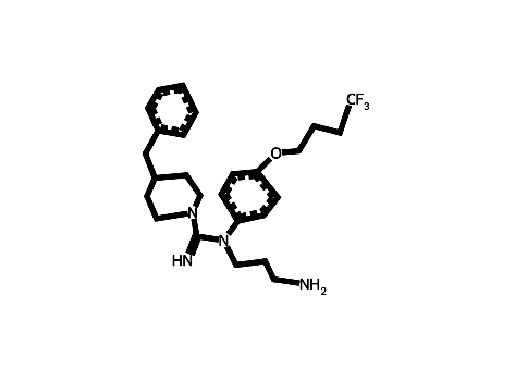 N=C(N1CCC(Cc2ccccc2)CC1)N(CCCN)c1ccc(OCCCC(F)(F)F)cc1